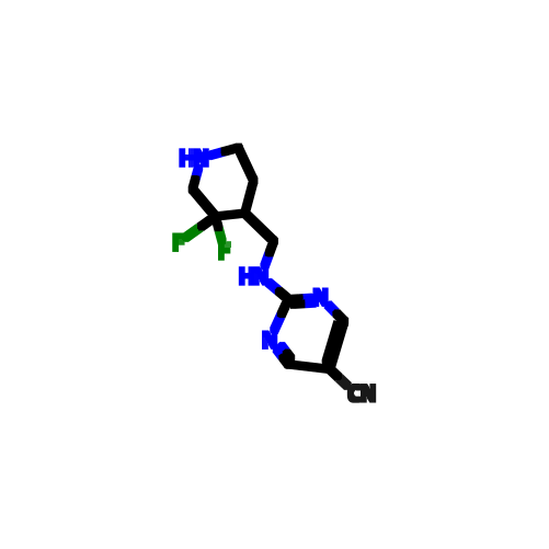 N#Cc1cnc(NCC2CCNCC2(F)F)nc1